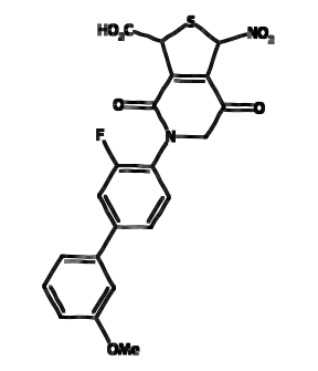 COc1cccc(-c2ccc(N3CC(=O)C4=C(C3=O)C(C(=O)O)SC4[N+](=O)[O-])c(F)c2)c1